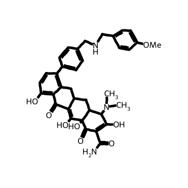 COc1ccc(CNCc2ccc(-c3ccc(O)c4c3CC3CC5C(N(C)C)C(O)=C(C(N)=O)C(=O)C5(O)C(O)=C3C4=O)cc2)cc1